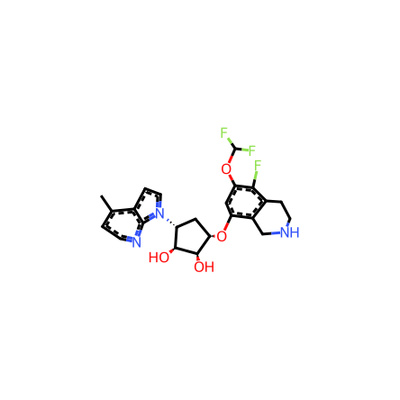 Cc1ccnc2c1ccn2[C@@H]1C[C@H](Oc2cc(OC(F)F)c(F)c3c2CNCC3)[C@@H](O)[C@H]1O